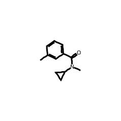 Cc1cccc(C(=O)N(C)C2CC2)c1